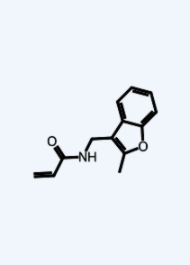 C=CC(=O)NCc1c(C)oc2ccccc12